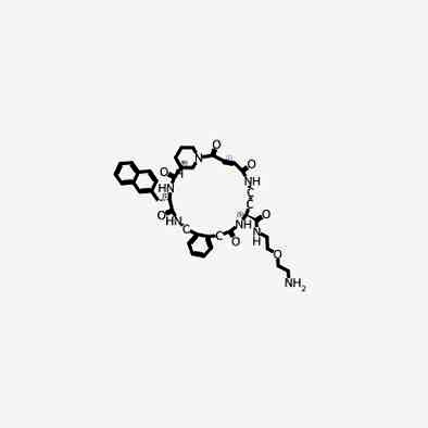 NCCOCCNC(=O)[C@@H]1CCNC(=O)/C=C/C(=O)N2CCC[C@H](C2)C(=O)N[C@@H](Cc2ccc3ccccc3c2)C(=O)NCc2ccccc2CC(=O)N1